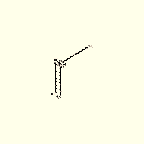 CCCCCCCCC=CCCCCCCCC(=O)SC(O)(CO)C(O)(SC(=O)CCCCCCCC=CCCCCCCCC)SC(=O)CCCCCCCC=CCCCCCCCC